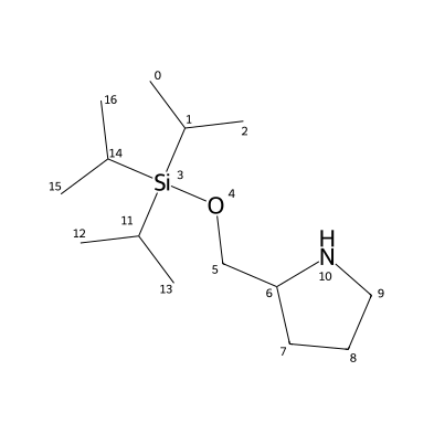 CC(C)[Si](OCC1CCCN1)(C(C)C)C(C)C